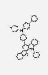 CC1C=CC(N(c2ccc(-c3ccccc3)cc2)c2ccc(-c3cc4c5ccccc5oc4c4c3c3ccccc3n4-c3ccccc3)cc2)=CC1